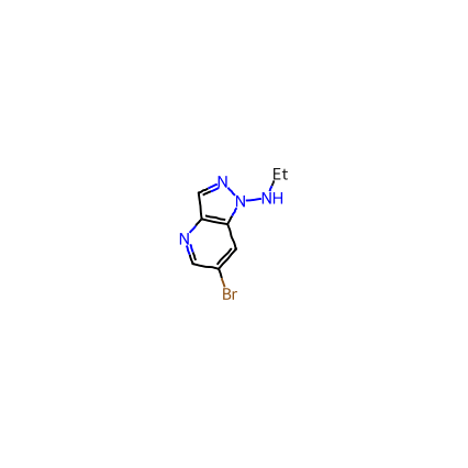 CCNn1ncc2ncc(Br)cc21